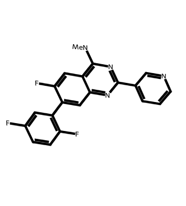 CNc1nc(-c2cccnc2)nc2cc(-c3cc(F)ccc3F)c(F)cc12